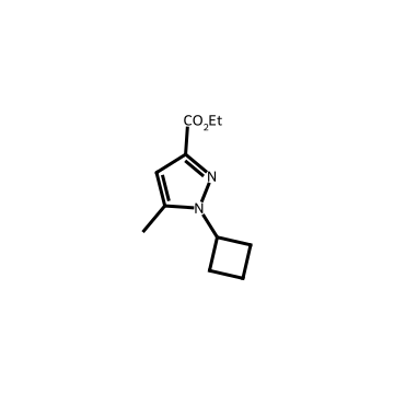 CCOC(=O)c1cc(C)n(C2CCC2)n1